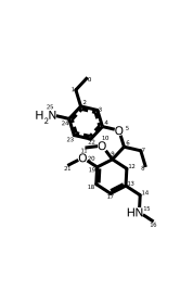 CCc1cc(OC(CC)C2(OC)CC(CNC)=CC=C2OC)ccc1N